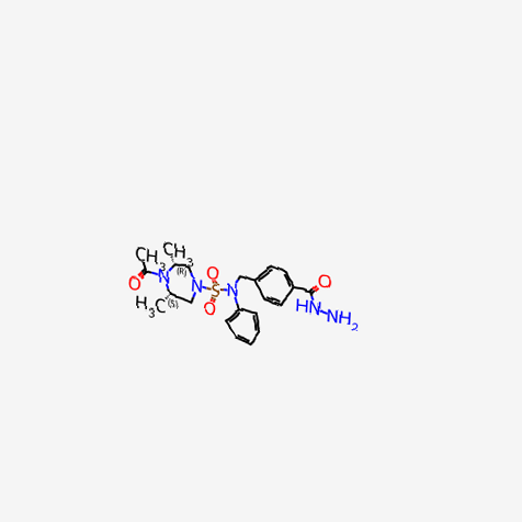 CC(=O)N1[C@H](C)CN(S(=O)(=O)N(Cc2ccc(C(=O)NN)cc2)c2ccccc2)C[C@@H]1C